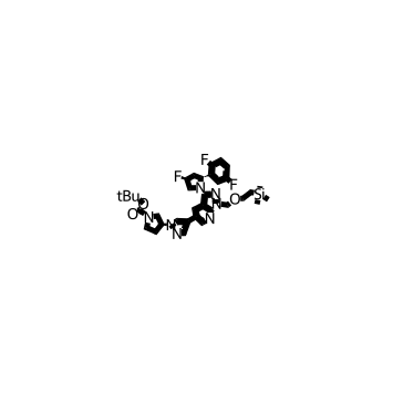 CC(C)(C)OC(=O)N1CC[C@H](n2cc(-c3cnc4c(c3)c(N3C[C@@H](F)C[C@@H]3c3cc(F)ccc3F)nn4COCC[Si](C)(C)C)cn2)C1